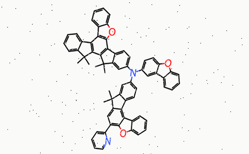 CC1(C)c2cc(N(c3ccc4c(c3)C(C)(C)c3c5c(c6c(oc7ccccc76)c3-4)-c3ccccc3C5(C)C)c3ccc4oc5ccccc5c4c3)ccc2-c2c1cc(-c1ccccn1)c1oc3ccccc3c21